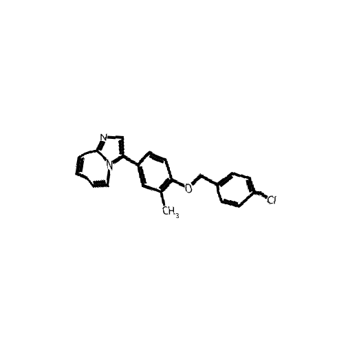 Cc1cc(-c2cnc3ccccn23)ccc1OCc1ccc(Cl)cc1